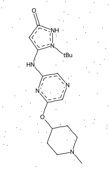 CN1CCC(Oc2cncc(Nc3cc(=O)[nH]n3C(C)(C)C)n2)CC1